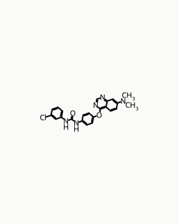 CN(C)c1ccc2c(Oc3ccc(NC(=O)Nc4cccc(Cl)c4)cc3)ncnc2c1